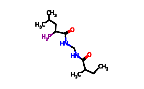 CCC(C)C(=O)NCNC(=O)C(P)CC(C)C